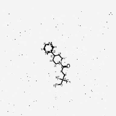 O=C(CCC(F)(F)CF)N1CCC(c2cnccn2)CC1